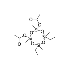 CC[Si]1(C)O[Si](C)(CC)O[Si](C)(OC(C)=O)O[Si](C)(OC(C)=O)O1